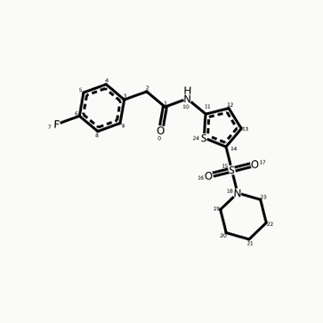 O=C(Cc1ccc(F)cc1)Nc1ccc(S(=O)(=O)N2CCCCC2)s1